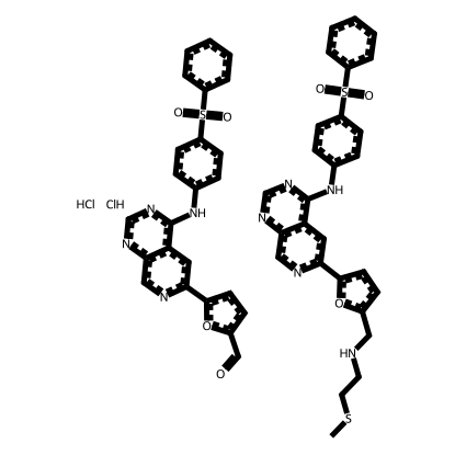 CSCCNCc1ccc(-c2cc3c(Nc4ccc(S(=O)(=O)c5ccccc5)cc4)ncnc3cn2)o1.Cl.Cl.O=Cc1ccc(-c2cc3c(Nc4ccc(S(=O)(=O)c5ccccc5)cc4)ncnc3cn2)o1